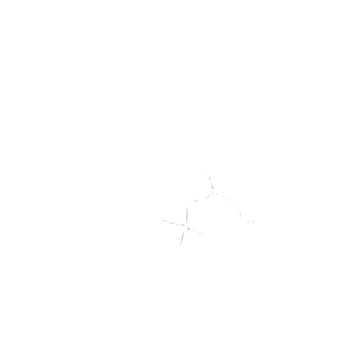 C[N+](C)(C)C.[O-]B(O)OO